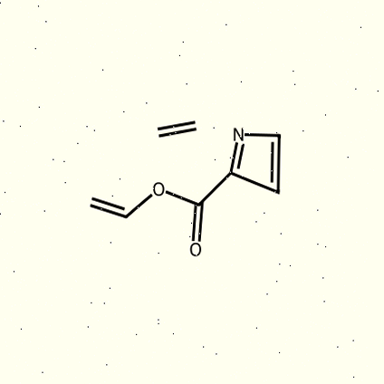 C=C.C=COC(=O)C1=NC=C1